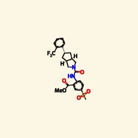 COC(=O)c1cc(S(C)(=O)=O)ccc1NC(=O)N1C[C@H]2C[C@H](c3ccccc3C(F)(F)F)C[C@H]2C1